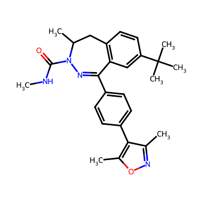 CNC(=O)N1N=C(c2ccc(-c3c(C)noc3C)cc2)c2cc(C(C)(C)C)ccc2CC1C